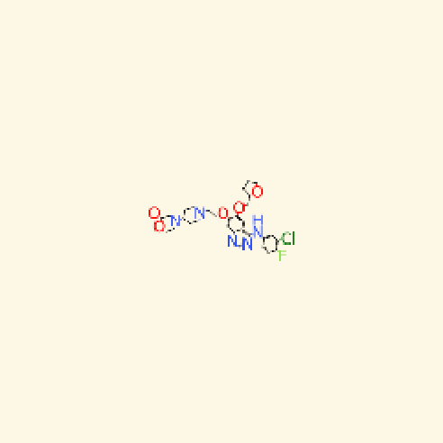 O=C1CN(C2CCN(CCOc3cc4ncnc(Nc5ccc(F)c(Cl)c5)c4cc3OCC3CCCO3)CC2)CCO1